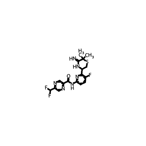 CC1(C)SCC(c2nc(NC(=O)c3cnc(C(F)F)cn3)ccc2F)NC1=N